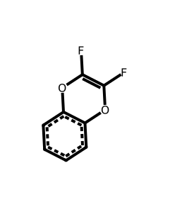 FC1=C(F)Oc2ccccc2O1